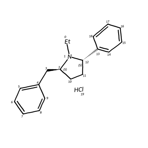 CCN1[C@H](Cc2ccccc2)CC[C@H]1c1ccccc1.Cl